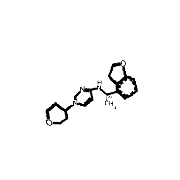 C[C@H](NC1=NCN(C2CCOCC2)C=C1)c1cccc2c1CCO2